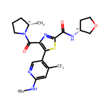 C[C@H]1CCCN1C(=O)c1nc(C(=O)N[C@@H]2CCOC2)sc1-c1cnc(NC(C)(C)C)cc1C(F)(F)F